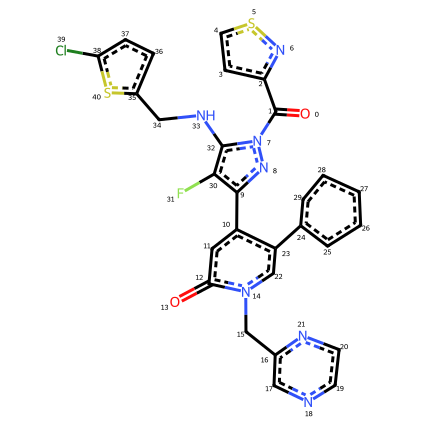 O=C(c1ccsn1)n1nc(-c2cc(=O)n(Cc3cnccn3)cc2-c2ccccc2)c(F)c1NCc1ccc(Cl)s1